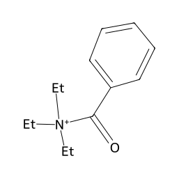 CC[N+](CC)(CC)C(=O)c1ccccc1